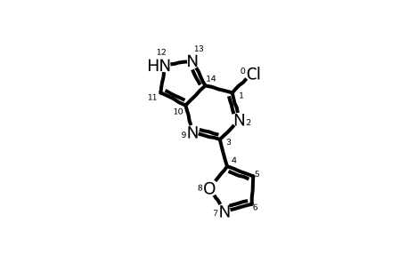 Clc1nc(-c2ccno2)nc2c[nH]nc12